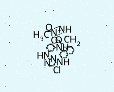 C=CC(=O)Nc1cc(Nc2ncc(Cl)c(Nc3ccc4ccccc4c3)n2)ccc1OC[N+]1(C(C)=O)CCNCC1